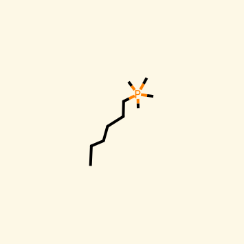 CCCCCCP(C)(C)(C)C